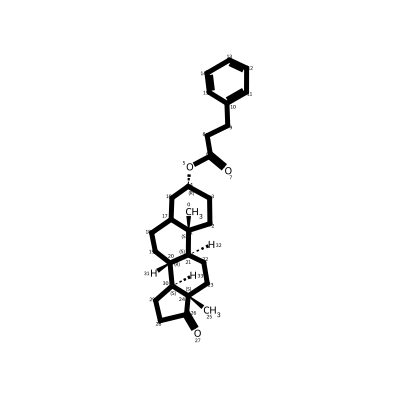 C[C@]12CC[C@@H](OC(=O)CCc3ccccc3)CC1CC[C@@H]1[C@@H]2CC[C@]2(C)C(=O)CC[C@@H]12